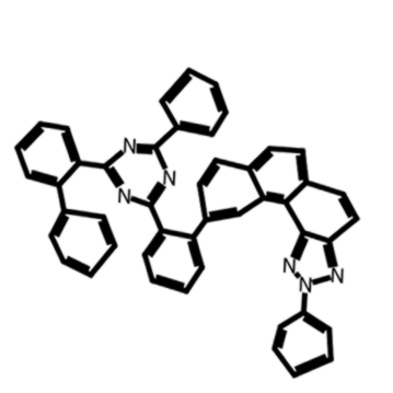 c1ccc(-c2nc(-c3ccccc3-c3ccccc3)nc(-c3ccccc3-c3ccc4ccc5ccc6nn(-c7ccccc7)nc6c5c4c3)n2)cc1